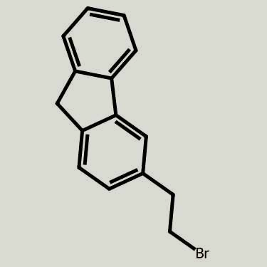 BrCCc1ccc2c(c1)-c1ccccc1C2